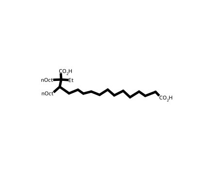 CCCCCCCCC(CCCCCCCCCCCCC(=O)O)C(CC)(CCCCCCCC)C(=O)O